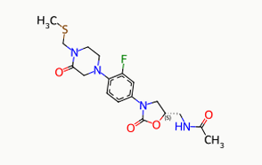 CSCN1CCN(c2ccc(N3C[C@H](CNC(C)=O)OC3=O)cc2F)CC1=O